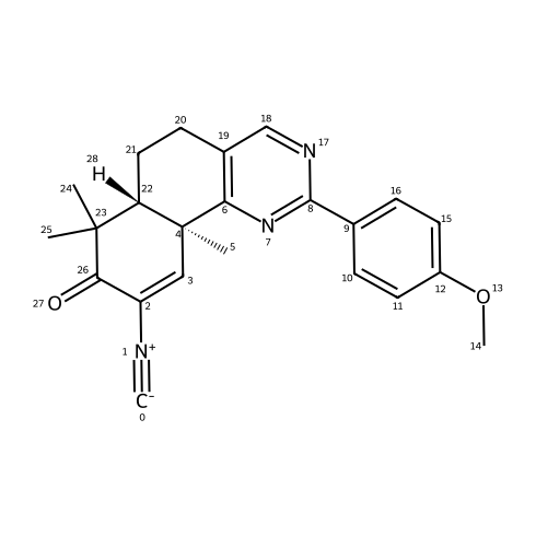 [C-]#[N+]C1=C[C@]2(C)c3nc(-c4ccc(OC)cc4)ncc3CC[C@H]2C(C)(C)C1=O